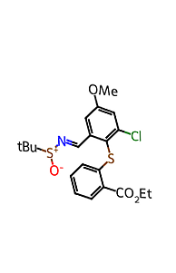 CCOC(=O)c1ccccc1Sc1c(Cl)cc(OC)cc1C=N[S+]([O-])C(C)(C)C